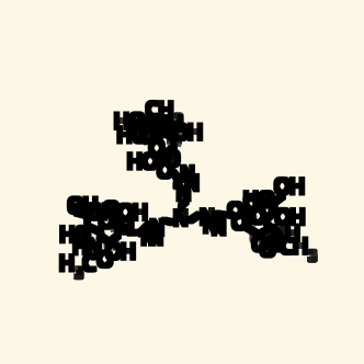 CC(=O)NC1C(C(O)C(O)CO)O[C@@](OCc2cn(CCN(CCn3cc(CO[C@]4(C(=O)O)C[C@@H](O)C(NC(C)=O)C(C(O)C(O)CO)O4)nn3)CCn3cc(CO[C@]4(C(=O)O)C[C@@H](O)C(NC(C)=O)C(CO)(C(O)CO)O4)nn3)nn2)(C(=O)O)C[C@H]1O